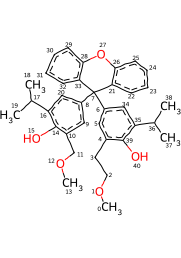 COCCc1cc(C2(c3cc(COC)c(O)c(C(C)C)c3)c3ccccc3Oc3ccccc32)cc(C(C)C)c1O